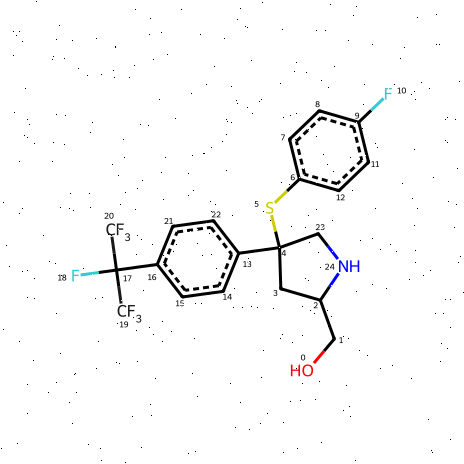 OCC1CC(Sc2ccc(F)cc2)(c2ccc(C(F)(C(F)(F)F)C(F)(F)F)cc2)CN1